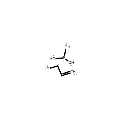 C=CCO.OB(O)O